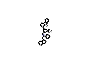 Brc1cc(/C=C(/Cc2cccc3ccccc23)c2ccccc2)cc(-c2cccc3c2sc2ccccc23)c1